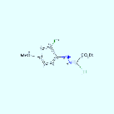 CCOC(=O)/C(Cl)=N\Nc1ccc(OC)cc1F